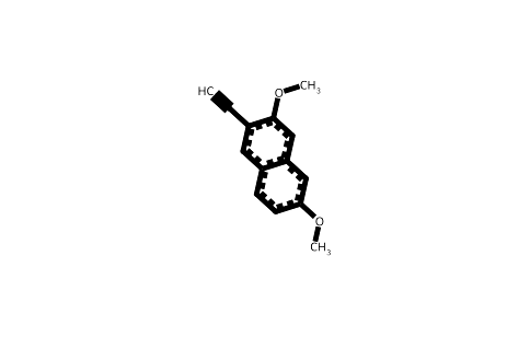 C#Cc1cc2ccc(OC)cc2cc1OC